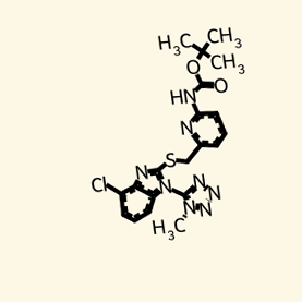 Cn1nnnc1-n1c(SCc2cccc(NC(=O)OC(C)(C)C)n2)nc2c(Cl)cccc21